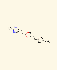 Cc1ncc(CCC2OCC(CCC3CCC(C)CO3)CO2)cn1